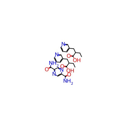 CCC(Cc1cccnc1)C(=O)O.CCC(Cc1cccnc1)C(=O)O.NC(=O)c1cnc(C(N)=O)cn1